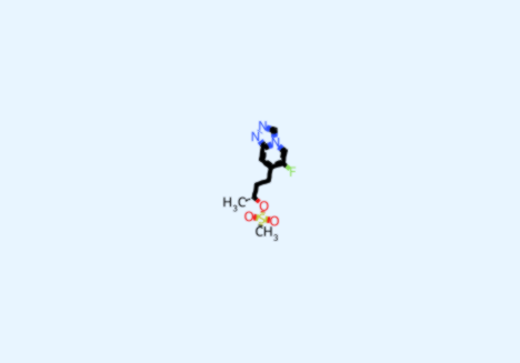 C[C@H](CCc1cc2nncn2cc1F)OS(C)(=O)=O